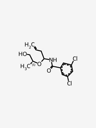 C=CCC(NC(=O)c1cc(Cl)cc(Cl)c1)O[C@@H](C)CO